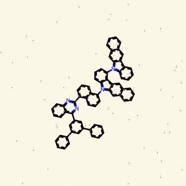 c1ccc(-c2cc(-c3ccccc3)cc(-c3nc(-c4cccc5c(-n6c7cc8ccccc8cc7c7c(-n8c9ccccc9c9cc%10ccccc%10cc98)cccc76)cccc45)nc4ccccc34)c2)cc1